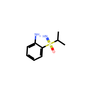 CC(C)S(=N)(=O)c1ccccc1N